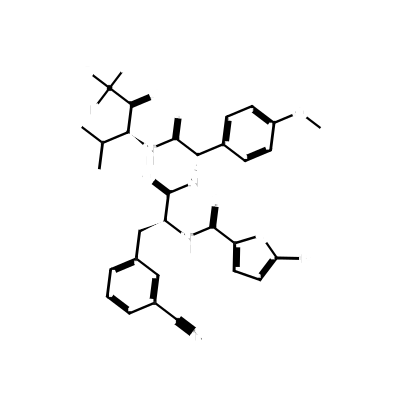 COc1ccc([C@H](NC(=O)[C@H](Cc2cccc(C#N)c2)NC(=O)c2ccc(Br)s2)C(=O)N[C@H](C(=O)C(F)(F)F)C(C)C)cc1